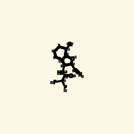 N#Cc1oc2c(Br)cccc2c1NC(=O)C(F)F